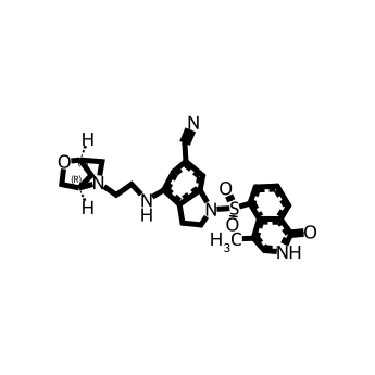 Cc1c[nH]c(=O)c2cccc(S(=O)(=O)N3CCc4c(NCCN5C[C@H]6C[C@@H]5CO6)cc(C#N)cc43)c12